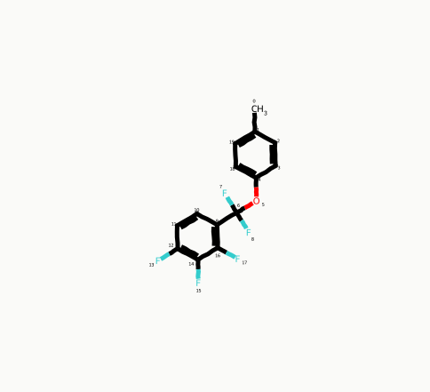 Cc1ccc(OC(F)(F)c2ccc(F)c(F)c2F)cc1